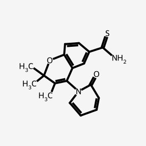 CC1=C(n2ccccc2=O)c2cc(C(N)=S)ccc2OC1(C)C